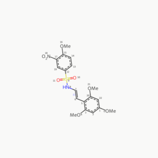 COc1cc(OC)c(/C=C/NS(=O)(=O)c2ccc(OC)c([N+](=O)[O-])c2)c(OC)c1